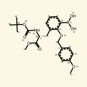 COC(=O)[C@@H](Cc1cccc(B(O)O)c1OCc1ccc(OC)cc1)NC(=O)OC(C)(C)C